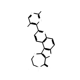 C[C@@H]1CNc2c(sc3ccc4nc(-c5nc(Cl)ncc5F)ccc4c23)C(=O)N1